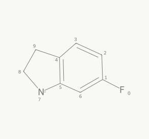 Fc1ccc2c(c1)[N]CC2